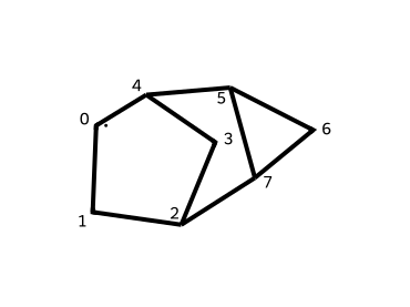 [CH]1CC2CC1C1CC21